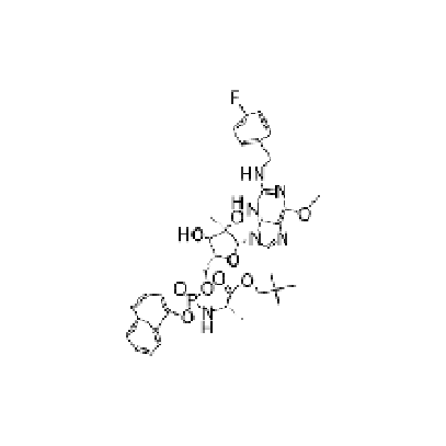 COc1nc(NCc2ccc(F)cc2)nc2c1ncn2[C@@H]1O[C@H](COP(=O)(N[C@@H](C)C(=O)OCC(C)(C)C)Oc2cccc3ccccc23)[C@@H](O)[C@@]1(C)O